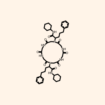 O=C1CNC(=O)CN(C(CCCc2ccccc2)C(=O)NC2CCCCC2)C(=O)CNC(=O)CNC(=O)CN(C(CCCc2ccccc2)C(=O)NC2CCCCC2)C(=O)CN1